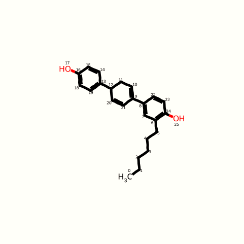 CCCCCCc1cc(C2=CCC(c3ccc(O)cc3)C=C2)ccc1O